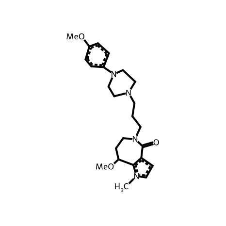 COc1ccc(N2CCN(CCCN3CCC(OC)c4c(ccn4C)C3=O)CC2)cc1